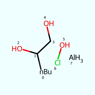 CCCCC(O)CO.OCl.[AlH3]